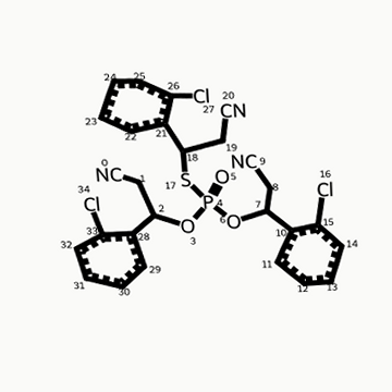 N#CCC(OP(=O)(OC(CC#N)c1ccccc1Cl)SC(CC#N)c1ccccc1Cl)c1ccccc1Cl